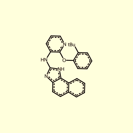 CC(C)(C)c1ccccc1Oc1ncccc1Nc1nc2ccc3ccccc3c2[nH]1